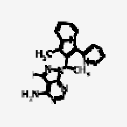 Cc1c(C(C)n2nc(I)c3c(N)ncnc32)c(-c2ccccn2)n2ccccc12